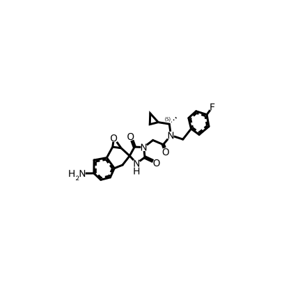 C[C@@H](C1CC1)N(Cc1ccc(F)cc1)C(=O)CN1C(=O)NC2(Cc3ccc(N)cc3C3OC32)C1=O